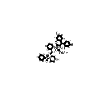 COC(=O)N[C@H](C(=O)N[C@H]1CCCC[C@@H]1CC[C@H]1CNCCN1S(=O)(=O)c1ccccc1)C(c1ccc(F)cc1)c1ccc(F)cc1